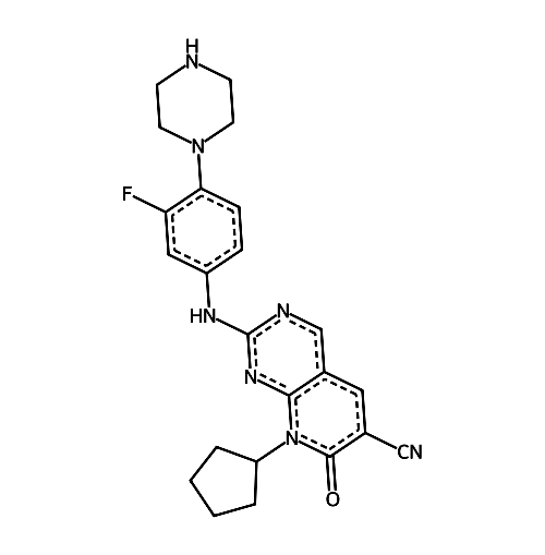 N#Cc1cc2cnc(Nc3ccc(N4CCNCC4)c(F)c3)nc2n(C2CCCC2)c1=O